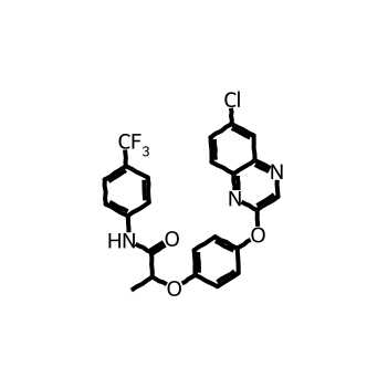 CC(Oc1ccc(Oc2cnc3cc(Cl)ccc3n2)cc1)C(=O)Nc1ccc(C(F)(F)F)cc1